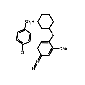 COC1=CC(=[N+]=[N-])CC=C1NC1CCCCC1.O=S(=O)(O)c1ccc(Cl)cc1